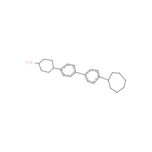 BC1CCC(c2ccc(-c3ccc(C4CCCCCC4)cc3)cc2)CC1